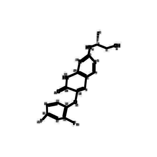 C[C@H](CO)Nc1ncc2cc(Oc3ccc(F)cc3F)c(=O)[nH]c2n1